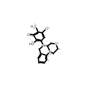 Cc1c(Cl)cc(NCc2ccccc2N2CCOCC2)c(O)c1Cl